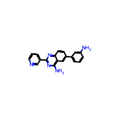 Nc1cccc(-c2ccc3nc(-c4cccnc4)nc(N)c3c2)c1